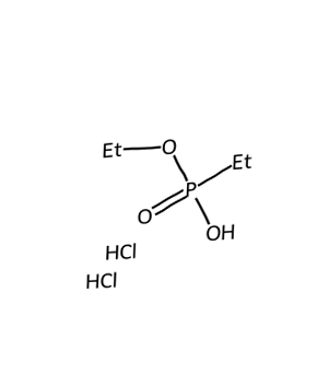 CCOP(=O)(O)CC.Cl.Cl